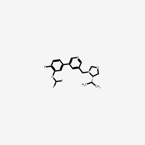 CC(C)[C@H]1COCN1Cc1cncc(-c2ccc(F)c(OC(F)F)c2)c1